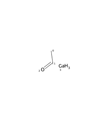 C[C]=O.[GaH3]